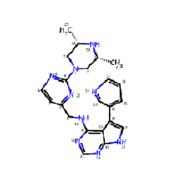 C[C@@H]1CN(c2nccc(CNc3ncnc4[nH]cc(-c5cccnc5)c34)n2)C[C@H](C)N1